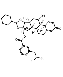 CCN(CC)Cc1cccc(C(=O)OCC(=O)[C@@]23O[C@H](C4CCCCC4)O[C@@H]2C[C@H]2[C@@H]4CCC5=CC(=O)C=C[C@]5(C)[C@H]4[C@@H](O)C[C@@]23C)c1